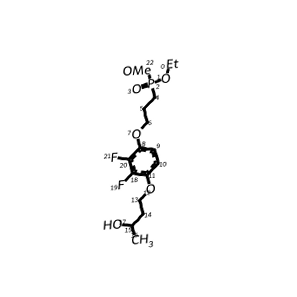 CCOP(=O)(CCCOc1ccc(OCCC(C)O)c(F)c1F)OC